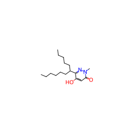 CCCCCCC(CCCCC)c1nn(C)c(=O)cc1O